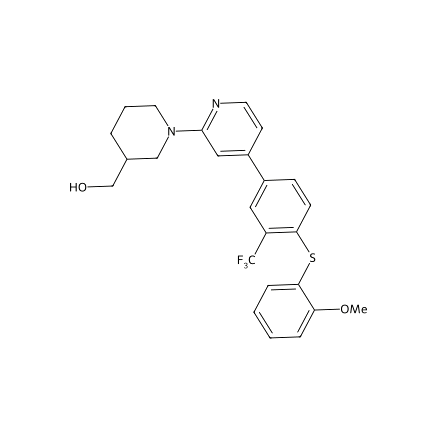 COc1ccccc1Sc1ccc(-c2ccnc(N3CCCC(CO)C3)c2)cc1C(F)(F)F